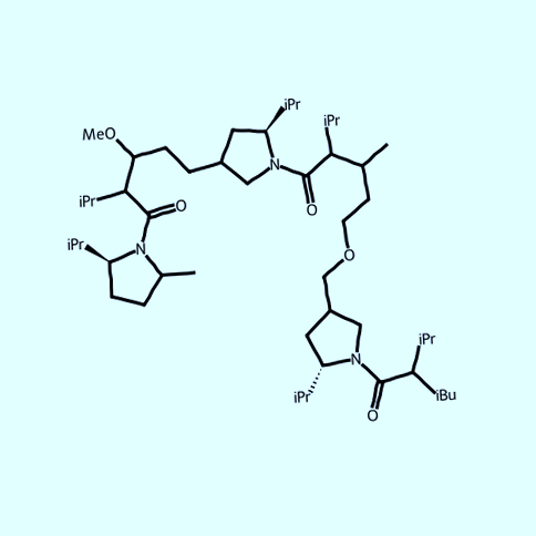 CCC(C)C(C(=O)N1CC(COCCC(C)C(C(=O)N2CC(CCC(OC)C(C(=O)N3C(C)CC[C@H]3C(C)C)C(C)C)C[C@H]2C(C)C)C(C)C)C[C@H]1C(C)C)C(C)C